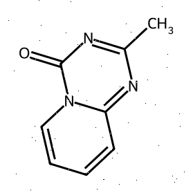 Cc1nc(=O)n2ccccc2n1